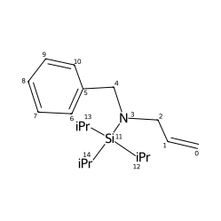 C=CCN(Cc1ccccc1)[Si](C(C)C)(C(C)C)C(C)C